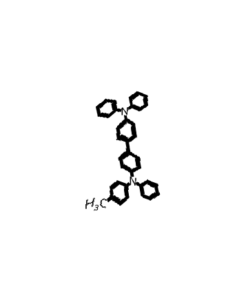 Cc1ccc(N(c2ccccc2)c2ccc(-c3ccc(N(c4ccccc4)c4ccccc4)cc3)cc2)cc1